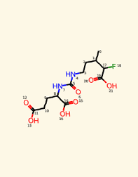 CC(CCNC(=O)NC(CCC(=O)O)C(=O)O)C(F)C(=O)O